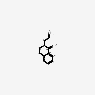 C=CCC1CCC2CC=CC=C2C1=O